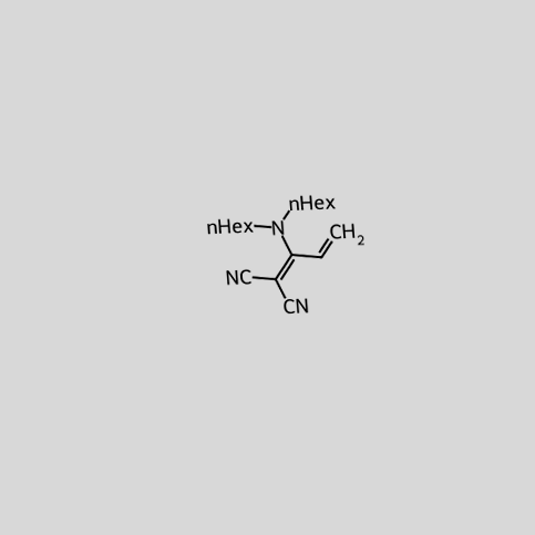 C=CC(=C(C#N)C#N)N(CCCCCC)CCCCCC